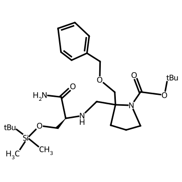 CC(C)(C)OC(=O)N1CCCC1(CN[C@@H](CO[Si](C)(C)C(C)(C)C)C(N)=O)COCc1ccccc1